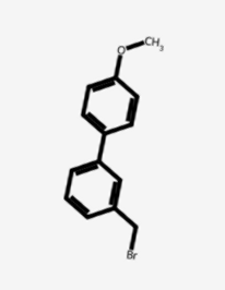 COc1ccc(-c2cccc(CBr)c2)cc1